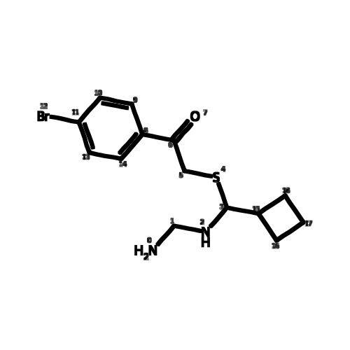 NCNC(SCC(=O)c1ccc(Br)cc1)C1CCC1